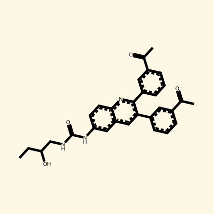 CCC(O)CNC(=O)Nc1ccc2nc(-c3cccc(C(C)=O)c3)c(-c3cccc(C(C)=O)c3)cc2c1